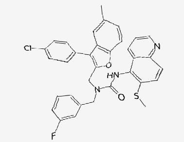 CSc1ccc2ncccc2c1NC(=O)N(Cc1cccc(F)c1)Cc1oc2ccc(C)cc2c1-c1ccc(Cl)cc1